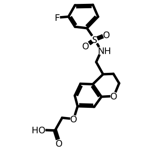 O=C(O)COc1ccc2c(c1)OCCC2CNS(=O)(=O)c1cccc(F)c1